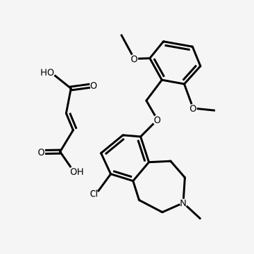 COc1cccc(OC)c1COc1ccc(Cl)c2c1CCN(C)CC2.O=C(O)C=CC(=O)O